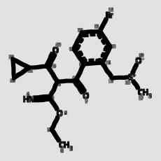 CCOC(=N)C(C(=O)c1ccc(Br)cc1C[S+](C)[O-])C(=O)C1CC1